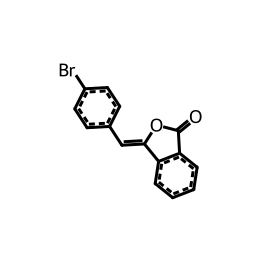 O=C1OC(=Cc2ccc(Br)cc2)c2ccccc21